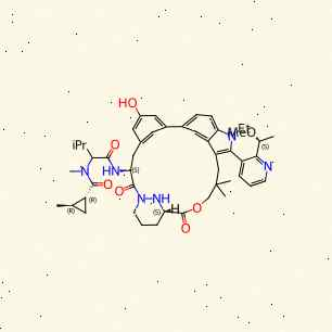 CCn1c(-c2cccnc2[C@H](C)OC)c2c3cc(ccc31)-c1cc(O)cc(c1)C[C@H](NC(=O)C(C(C)C)N(C)C(=O)[C@@H]1C[C@H]1C)C(=O)N1CCC[C@H](N1)C(=O)OCC(C)(C)C2